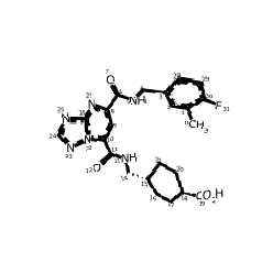 Cc1cc(CNC(=O)c2cc(C(=O)NC[C@H]3CC[C@H](C(=O)O)CC3)n3ncnc3n2)ccc1F